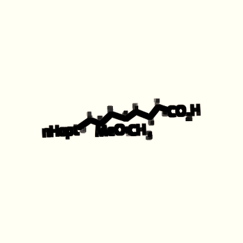 CCCCCCCCCCCCCCC(=O)O.COC